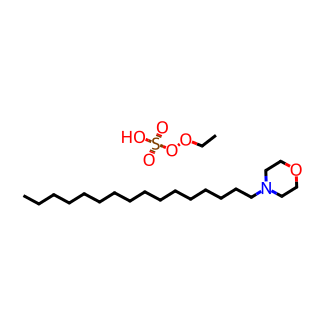 CCCCCCCCCCCCCCCCN1CCOCC1.CCOOS(=O)(=O)O